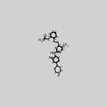 CN1CCC(c2ccc(Nc3ncc(C(F)(F)F)c(CCc4ccccc4CC(N)=O)n3)c(F)c2)CC1